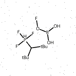 CC(C)(C)C(C(C)(C)C)[PH](F)(F)F.OB(O)OF